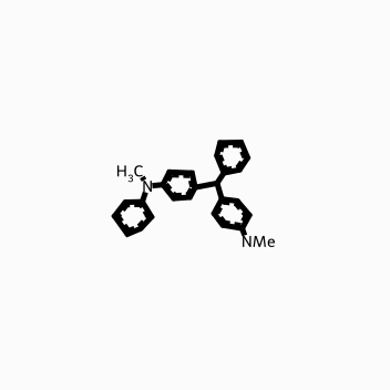 CNc1ccc(C(c2ccccc2)c2ccc(N(C)c3ccccc3)cc2)cc1